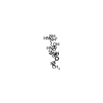 Cn1cc(-c2cccc(S(=O)(=O)Nc3ccsc3C(=O)N[C@@H](CCCNC(=N)N)C(=O)O)c2)cn1